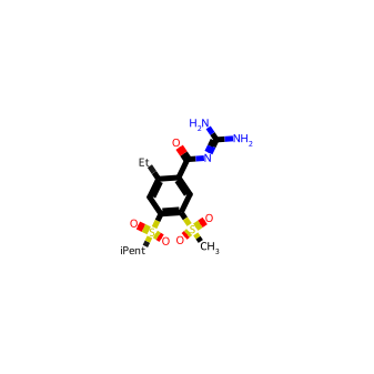 CCCC(C)S(=O)(=O)c1cc(CC)c(C(=O)N=C(N)N)cc1S(C)(=O)=O